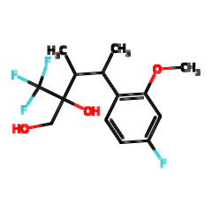 COc1cc(F)ccc1C(C)C(C)C(O)(CO)C(F)(F)F